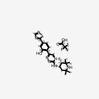 CC1(C)C[C@H](Nc2ncc(-c3ccc(-c4ncns4)cc3O)nn2)[C@H](F)C(C)(C)N1.O=C(O)C(F)(F)F